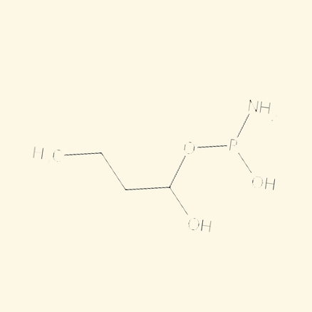 CCCC(O)OP(N)O